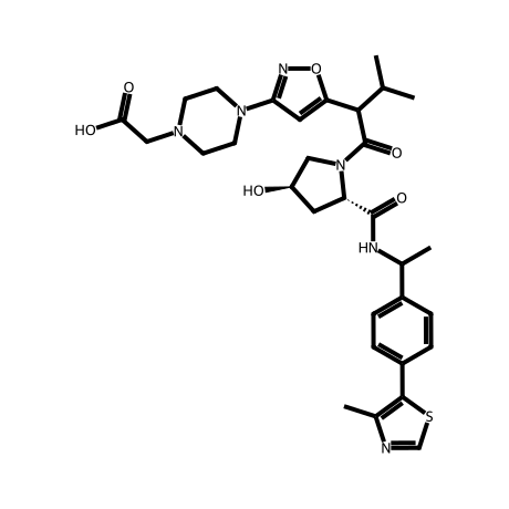 Cc1ncsc1-c1ccc(C(C)NC(=O)[C@@H]2C[C@@H](O)CN2C(=O)C(c2cc(N3CCN(CC(=O)O)CC3)no2)C(C)C)cc1